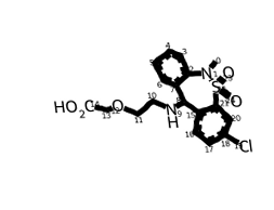 CN1c2ccccc2C(NCCOCC(=O)O)c2ccc(Cl)cc2S1(=O)=O